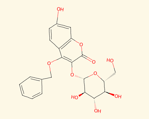 O=c1oc2cc(O)ccc2c(OCc2ccccc2)c1O[C@@H]1O[C@H](CO)[C@@H](O)[C@H](O)[C@H]1O